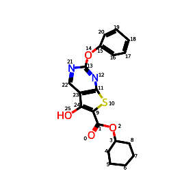 O=C(OC1CCCCC1)c1sc2nc(Oc3ccccc3)ncc2c1O